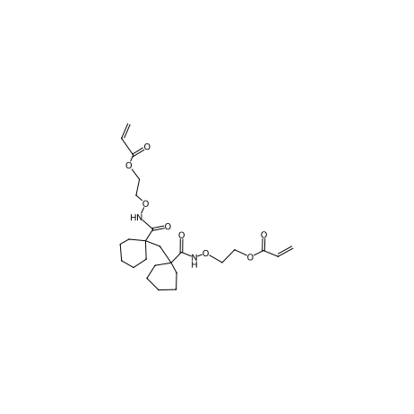 C=CC(=O)OCCONC(=O)C1(CC2(C(=O)NOCCOC(=O)C=C)CCCCC2)CCCCC1